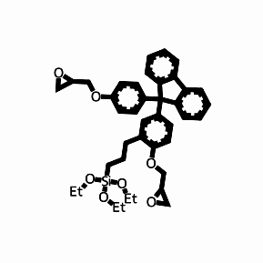 CCO[Si](CCCc1cc(C2(c3ccc(OCC4CO4)cc3)c3ccccc3-c3ccccc32)ccc1OCC1CO1)(OCC)OCC